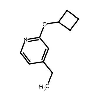 CCc1ccnc(OC2CCC2)c1